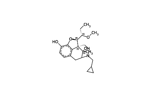 CC[C@H](OC)[C@@H]1Oc2c(O)ccc3c2[C@@]12CCN(CC1CC1)C(C3)[C@@]2(C)O